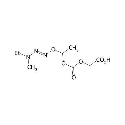 CCN(C)N=NOC(C)OC(=O)OCC(=O)O